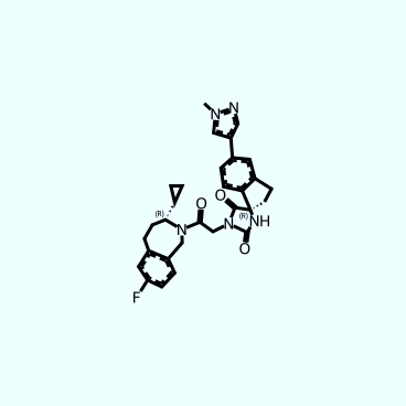 Cn1cc(-c2ccc3c(c2)CC[C@@]32NC(=O)N(CC(=O)N3Cc4ccc(F)cc4CC[C@@H]3C3CC3)C2=O)cn1